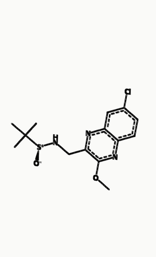 COc1nc2ccc(Cl)cc2nc1CN[S@@+]([O-])C(C)(C)C